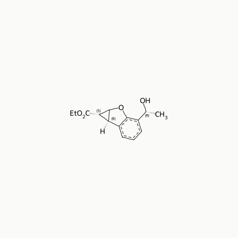 CCOC(=O)[C@@H]1C2Oc3c(cccc3[C@@H](C)O)[C@H]21